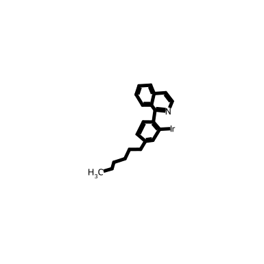 CCCCCCc1ccc(-c2nccc3ccccc23)[c]([Ir])c1